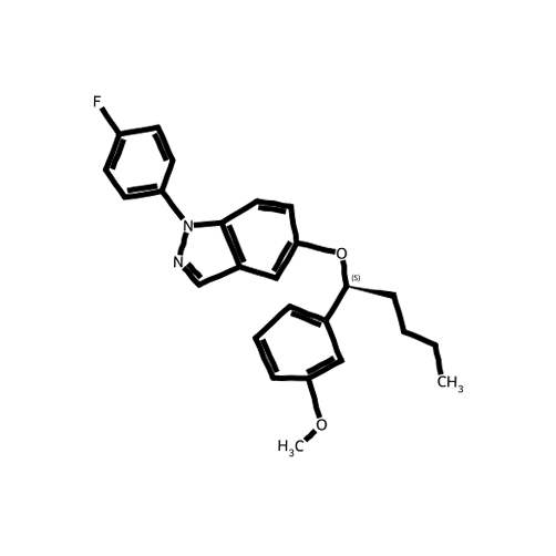 CCCC[C@H](Oc1ccc2c(cnn2-c2ccc(F)cc2)c1)c1cccc(OC)c1